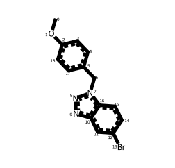 COc1ccc(Cn2nnc3cc(Br)ccc32)cc1